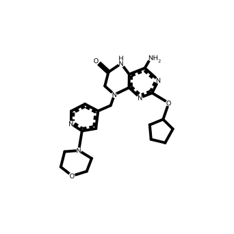 Nc1nc(OC2CCCC2)nc2c1NC(=O)CN2Cc1ccnc(N2CCOCC2)c1